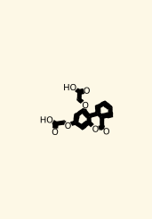 O=C(O)COc1cc(OCC(=O)O)c2c(c1)oc(=O)c1ccccc12